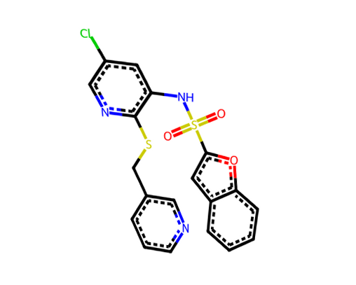 O=S(=O)(Nc1cc(Cl)cnc1SCc1cccnc1)c1cc2ccccc2o1